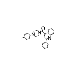 Cc1ccc(N2CCN(C(=O)c3cc(-c4ccccc4)nc4ccccc34)CC2)cc1